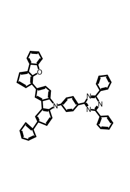 c1ccc(-c2ccc3c(c2)c2cc(-c4cccc5c4oc4ccccc45)ccc2n3-c2ccc(-c3nc(-c4ccccc4)nc(-c4ccccc4)n3)cc2)cc1